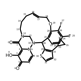 O=C1c2c(O)c(=O)ccn2N2CN1CCC/C=C/COc1c(ccc(F)c1F)C2c1sccc1C1CC1